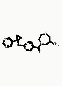 CC1COCCN(C(=O)c2cnc(NC3(c4cncnc4)CC3)nc2)C1